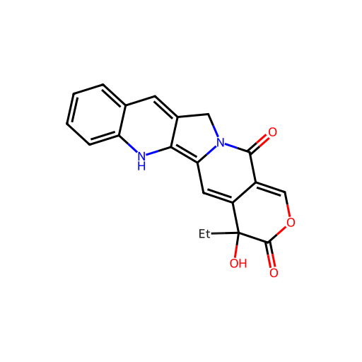 CCC1(O)C(=O)OC=c2c1cc1n(c2=O)CC2=Cc3ccccc3NC=12